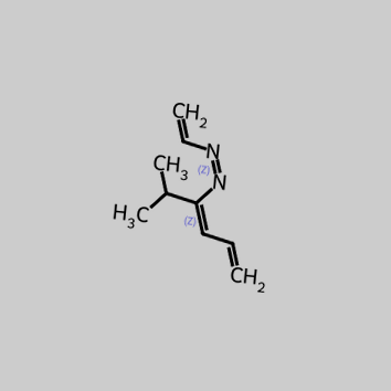 C=C/C=C(\N=N/C=C)C(C)C